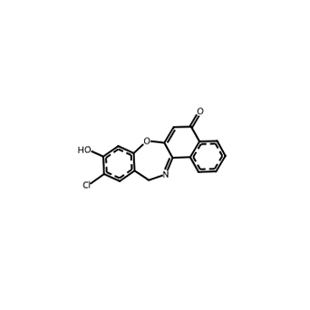 O=C1C=C2Oc3cc(O)c(Cl)cc3CN=C2c2ccccc21